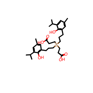 Cc1cc(CCCS(CCCc2cc(C)cc(C(C)C)c2O)(CCC(=O)O)CCC(=O)O)c(O)c(C(C)C)c1